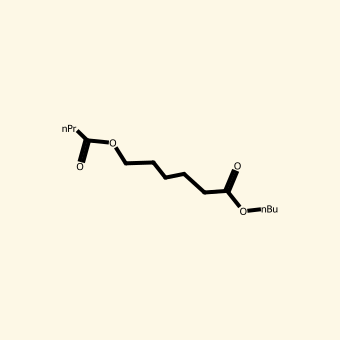 CCCCOC(=O)CCCCCOC(=O)CCC